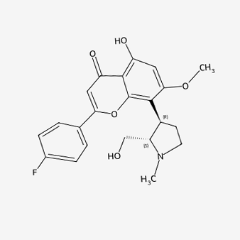 COc1cc(O)c2c(=O)cc(-c3ccc(F)cc3)oc2c1[C@H]1CCN(C)[C@@H]1CO